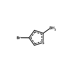 Bc1cc(Br)cs1